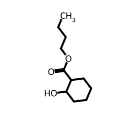 CCCCOC(=O)C1CCCCC1O